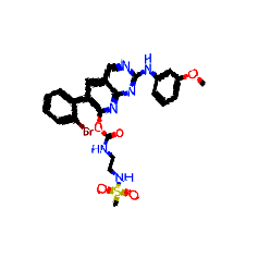 COc1cccc(Nc2ncc3cc(-c4ccccc4Br)c(OC(=O)NCCNS(C)(=O)=O)nc3n2)c1